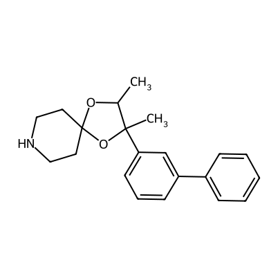 CC1OC2(CCNCC2)OC1(C)c1cccc(-c2ccccc2)c1